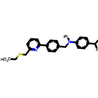 CCC(CC)c1ccc(N(Cc2ccc(-c3cccc(CSCC(=O)O)n3)cc2)C(C)C)cc1